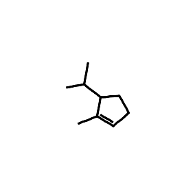 CC1=CCCC1C(C)C